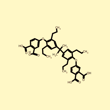 CCCc1cc(C(C)(C)c2cc(CCC)c(Oc3ccc(C(=O)O)c(C(=O)O)c3)c(CCC)c2)cc(CCC)c1Oc1ccc(C(=O)O)c(C(=O)O)c1